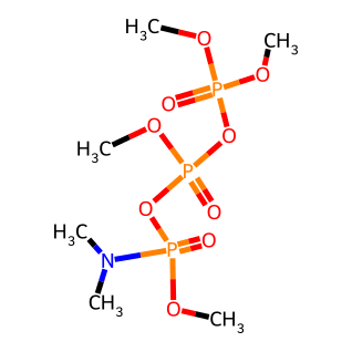 COP(=O)(OC)OP(=O)(OC)OP(=O)(OC)N(C)C